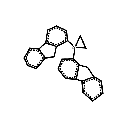 c1ccc2c(c1)Cc1c-2ccc[c]1[Zr]1([c]2cccc3c2Cc2ccccc2-3)[CH2][CH2]1